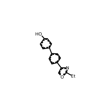 CCc1nc(-c2ccc(-c3ccc(O)cc3)cc2)co1